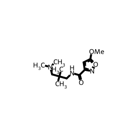 COc1cc(C(=O)NCC(C)(C)CN(C)C)no1